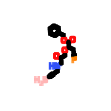 BC#CCNCC(=O)COC(CC#P)C(=O)OCc1ccccc1